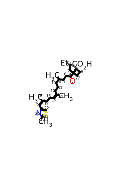 CCC(CC1(C(=O)CCC(C)CCCC(C)=CCCC(C)=Cc2csc(C)n2)CCC1)C(=O)O